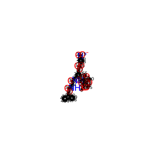 COC(=O)[C@H]1O[C@@H](Oc2ccc(COC(=O)Oc3ccc([N+](=O)[O-])cc3)cc2CNC(=O)CCNC(=O)OCC2c3ccccc3-c3ccccc32)[C@H](OC(C)=O)[C@@H](OC(C)=O)[C@@H]1OC(C)=O